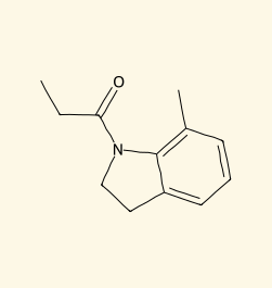 CCC(=O)N1CCc2cccc(C)c21